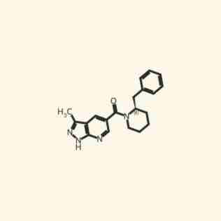 Cc1n[nH]c2ncc(C(=O)N3CCCC[C@@H]3Cc3ccccc3)cc12